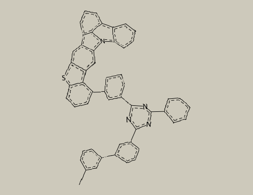 Cc1cccc(-c2cccc(-c3nc(-c4ccccc4)nc(-c4cccc(-c5cccc6sc7cc8c9cccc%10c%11ccccc%11n(c8cc7c56)c%109)c4)n3)c2)c1